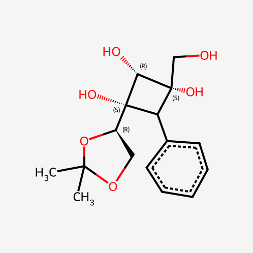 CC1(C)OC[C@H]([C@]2(O)C(c3ccccc3)[C@](O)(CO)[C@H]2O)O1